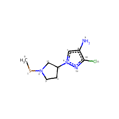 CSN1CCC(n2cc(N)c(Cl)n2)C1